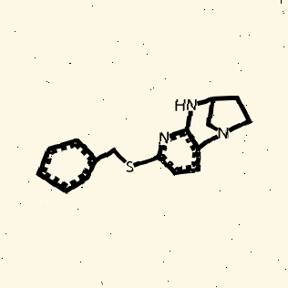 c1ccc(CSc2ccc3c(n2)NC2CCN3C2)cc1